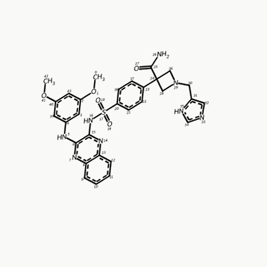 COc1cc(Nc2nc3ccccc3nc2NS(=O)(=O)c2ccc(C3(C(N)=O)CN(Cc4cnc[nH]4)C3)cc2)cc(OC)c1